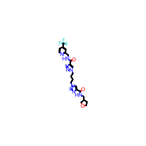 O=C(NCc1cc(C(F)(F)F)ccn1)c1cn(CCCCn2cc(C(=O)NCC3CCOC3)nn2)nn1